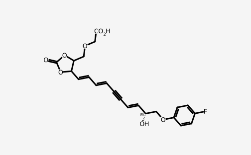 O=C(O)COCC1OC(=O)OC1C=CC=CC#CC=C[C@@H](O)COc1ccc(F)cc1